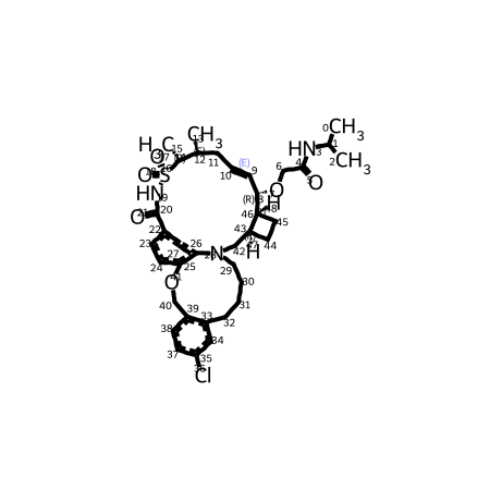 CC(C)NC(=O)CO[C@H]1/C=C/C[C@H](C)[C@@H](C)S(=O)(=O)NC(=O)c2ccc3c(c2)N(CCCCc2cc(Cl)ccc2CO3)C[C@@H]2CC[C@H]21